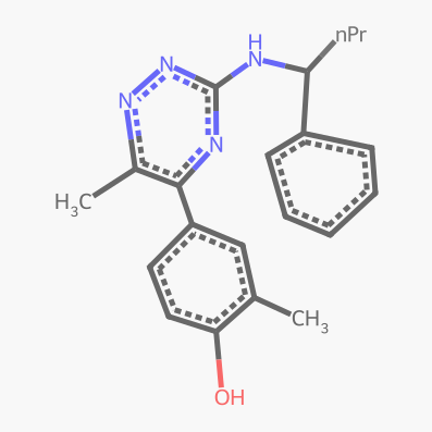 CCCC(Nc1nnc(C)c(-c2ccc(O)c(C)c2)n1)c1ccccc1